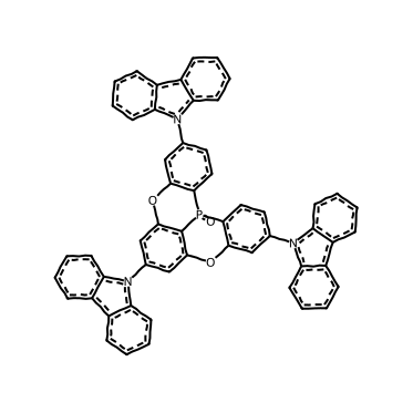 O=P12c3ccc(-n4c5ccccc5c5ccccc54)cc3Oc3cc(-n4c5ccccc5c5ccccc54)cc(c31)Oc1cc(-n3c4ccccc4c4ccccc43)ccc12